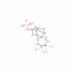 CS(=O)(=O)OC12CC3CC(C1)C1(OCC(F)(F)C(F)(F)CO1)C(C3)C2